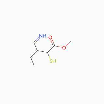 CCC(C=N)C(S)C(=O)OC